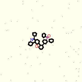 O=P(c1ccccc1)(c1ccccc1)c1ccc(-c2cccc3oc4c(ccc5c(-c6ccccc6)nc6ccccc6c54)c23)cc1